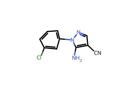 N#Cc1cnn(-c2cccc(Cl)c2)c1N